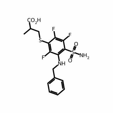 CC(CSc1c(F)c(F)c(S(N)(=O)=O)c(NCc2ccccc2)c1F)C(=O)O